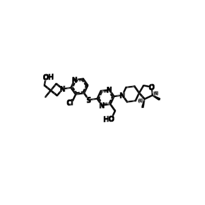 C[C@@H]1OCC2(CCN(c3ncc(Sc4ccnc(N5CC(C)(CO)C5)c4Cl)nc3CO)CC2)[C@@H]1C